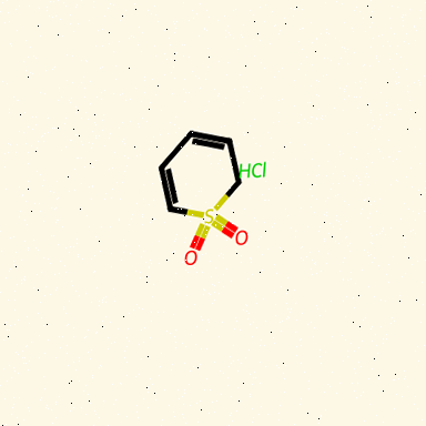 Cl.O=S1(=O)C=CC=CC1